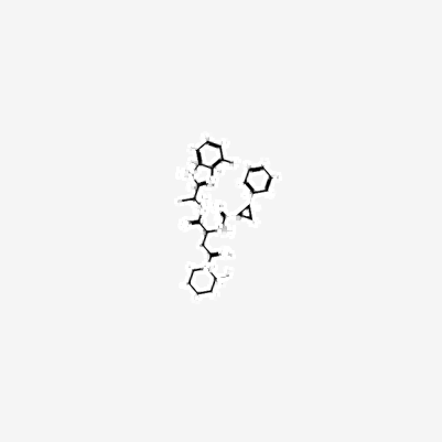 CC(NC(=O)C(CC(=O)N1CCCC[C@@H]1C)NC(=O)[C@H]1C[C@@H]1c1ccccc1)c1nc2c(F)cccc2[nH]1